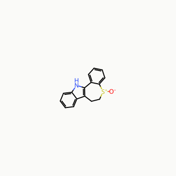 [O-][S+]1CCc2c([nH]c3ccccc23)-c2ccccc21